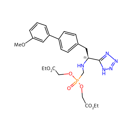 CCOC(=O)COP(=O)(CN[C@@H](Cc1ccc(-c2cccc(OC)c2)cc1)c1nnn[nH]1)OCC(=O)OCC